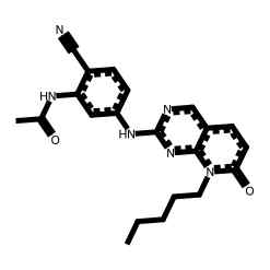 CCCCCn1c(=O)ccc2cnc(Nc3ccc(C#N)c(NC(C)=O)c3)nc21